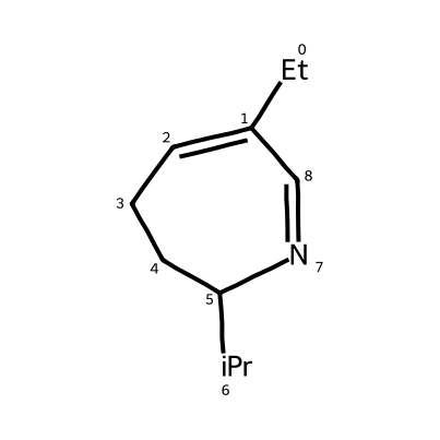 CCC1=CCCC(C(C)C)N=C1